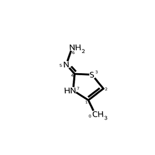 Cc1csc(=NN)[nH]1